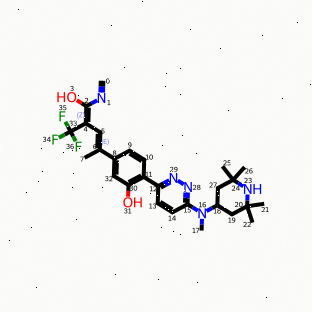 C=N/C(O)=C(\C=C(/C)c1ccc(-c2ccc(N(C)C3CC(C)(C)NC(C)(C)C3)nn2)c(O)c1)C(F)(F)F